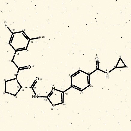 O=C(NC1CC1)c1ccc(-c2csc(NC(=O)[C@@H]3CCCN3C(=O)Cc3cc(F)cc(F)c3)n2)cc1